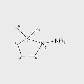 CC1(C)CCCN1N